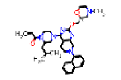 C=CC(=O)N1CCN(c2nc(OC[C@@H]3CN(C)CCO3)nc3c2CCN(c2cccc4ccccc24)C3)CC1CC(C)C